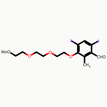 COCCOCCOCCOc1c(I)cc(I)c(C=O)c1C